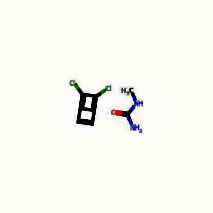 CNC(N)=O.Clc1c2ccc-2c1Cl